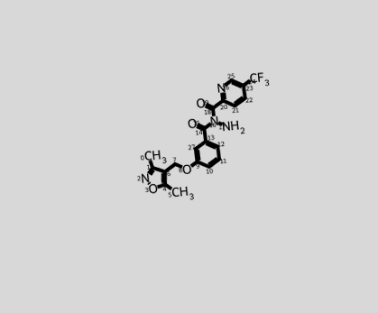 Cc1noc(C)c1COc1cccc(C(=O)N(N)C(=O)c2ccc(C(F)(F)F)cn2)c1